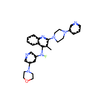 Cc1c(N2CCN(c3cccnc3)CC2)nc2ccccc2c1N(F)c1cncc(N2CCOCC2)c1